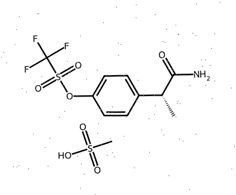 CS(=O)(=O)O.C[C@@H](C(N)=O)c1ccc(OS(=O)(=O)C(F)(F)F)cc1